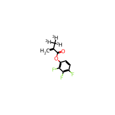 [2H]C([2H])([2H])C(=C)C(=O)Oc1ccc(F)c(F)c1F